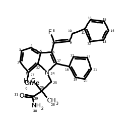 COc1cccc2c(/C(F)=C/Cc3ccccc3)c(-c3ccccc3)n(CC(C)(C)C(N)=O)c12